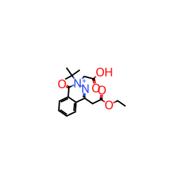 CCOC(=O)CC1=N[N+](CC(=O)O)(C(C)(C)C)C(=O)c2ccccc21